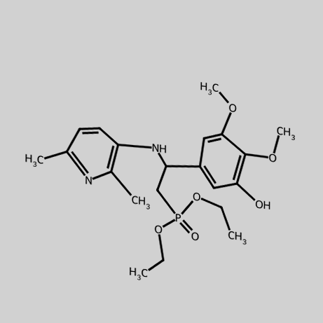 CCOP(=O)(CC(Nc1ccc(C)nc1C)c1cc(O)c(OC)c(OC)c1)OCC